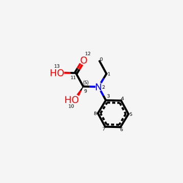 CCN(c1ccccc1)[C@@H](O)C(=O)O